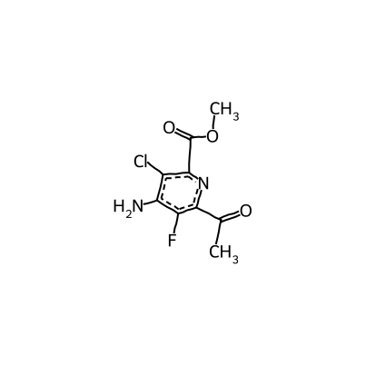 COC(=O)c1nc(C(C)=O)c(F)c(N)c1Cl